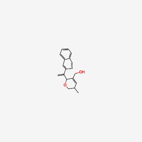 C=C(c1ccc2ccccc2c1)C1OCC(C)C=C1CO